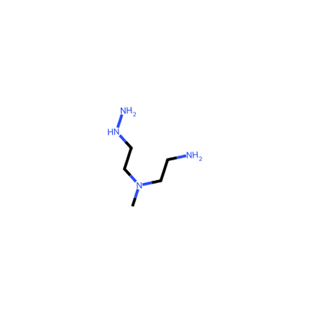 CN(CCN)CCNN